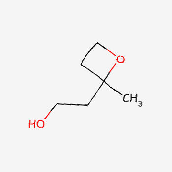 CC1(CCO)CCO1